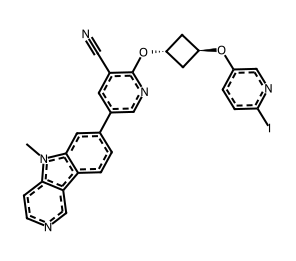 Cn1c2ccncc2c2ccc(-c3cnc(O[C@H]4C[C@H](Oc5ccc(I)nc5)C4)c(C#N)c3)cc21